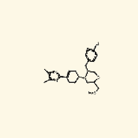 CSCC1CN(C2CC=C(c3nc(C)c(C)s3)CC2)C(Cc2ccc(Cl)cc2)CO1